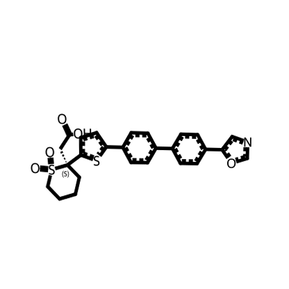 O=C(O)C[C@]1(c2ccc(-c3ccc(-c4ccc(-c5cnco5)cc4)cc3)s2)CCCCS1(=O)=O